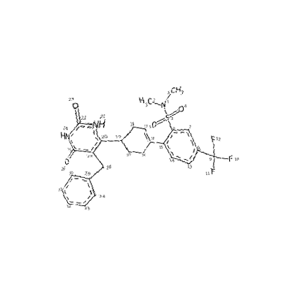 CN(C)S(=O)(=O)c1cc(C(F)(F)F)ccc1C1=CCC(c2[nH]c(=O)[nH]c(=O)c2Cc2ccccc2)CC1